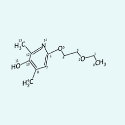 CCOCCOc1cc(C)c(O)c(C)n1